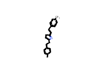 Cc1ccc(CCC2=CCC(/C=C/c3ccc(C(F)(F)F)cc3)=N2)cc1